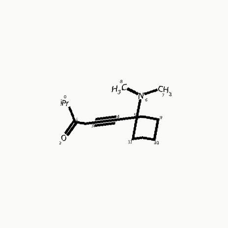 CC(C)C(=O)C#CC1(N(C)C)CCC1